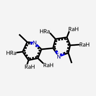 Cc1nc(-c2nc(C)[c]([RaH])[c]([RaH])[c]2[RaH])[c]([RaH])[c]([RaH])[c]1[RaH]